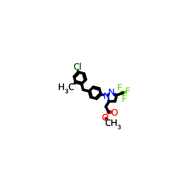 COC(=O)CC1CC(C(F)(F)F)=NN1c1ccc(Cc2ccc(Cl)cc2C)cc1